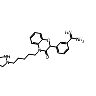 N=C(N)c1cccc(C2Oc3ccccc3N(CCCCCN3CCCN3)C2=O)c1